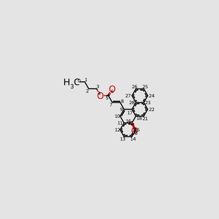 CCCCOC(=O)/C=C/C(=C/c1ccccc1)c1c(C=O)ccc2ccccc12